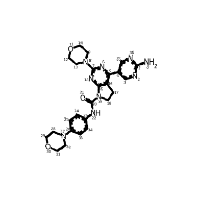 Nc1ncc(-c2nc(N3CCOCC3)nc3c2CCN3C(=O)Nc2ccc(N3CCOCC3)cc2)cn1